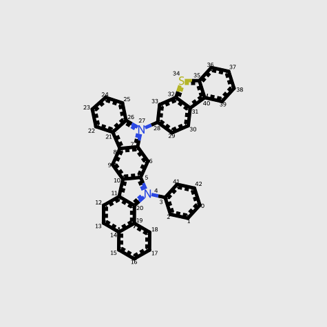 c1ccc(-n2c3cc4c(cc3c3ccc5ccccc5c32)c2ccccc2n4-c2ccc3c(c2)sc2ccccc23)cc1